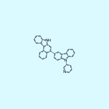 c1cncc(-n2c3ccccc3c3cc(-c4cc5[nH]c6ccccc6c5c5ccccc45)ccc32)c1